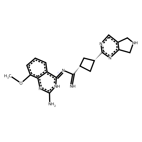 COc1cccc2/c(=N/C(=N)[C@H]3C[C@@H](c4ncc5c(n4)CNC5)C3)[nH]c(N)nc12